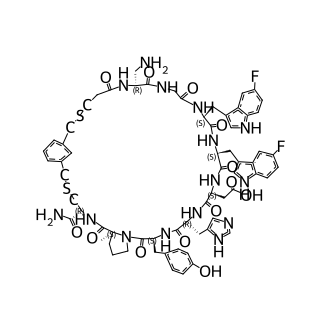 C[C@@]12CCCN1C(=O)[C@H](Cc1ccc(O)cc1)NC(=O)[C@@H](Cc1cnc[nH]1)NC(=O)[C@H](CC(=O)O)NC(=O)[C@H](Cc1c[nH]c3ccc(F)cc13)NC(=O)[C@H](Cc1c[nH]c3ccc(F)cc13)NC(=O)CNC(=O)[C@@H](CN)NC(=O)CCSCc1cccc(c1)CSC[C@@H](C(N)=O)NC2=O